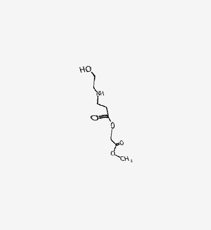 COC(=O)COC(=O)CCNCCO